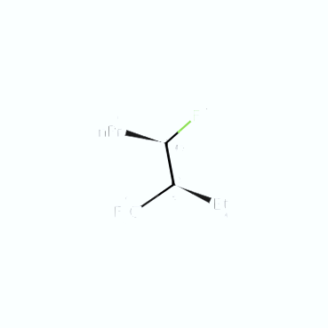 CCC[C@@H](F)[C@@H](CC)C(F)(F)F